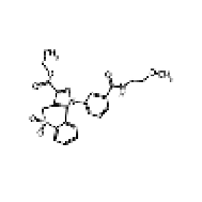 CCOC(=O)c1nn(-c2cccc(C(=O)NCCOC)c2)c2c1CS(=O)(=O)c1ccccc1-2